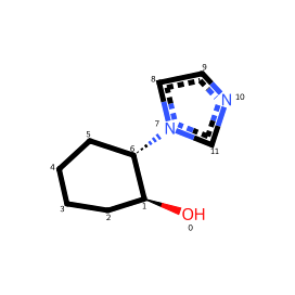 O[C@H]1CCCC[C@@H]1n1ccnc1